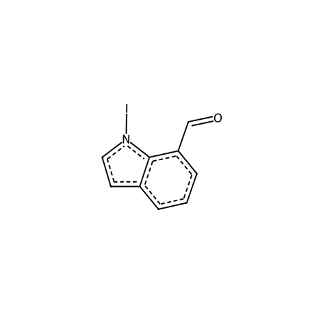 O=Cc1cccc2ccn(I)c12